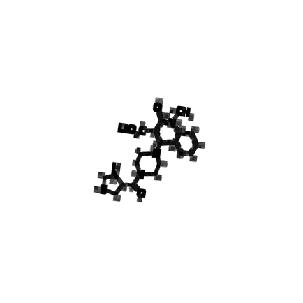 CCOC(=O)c1c(N2CCN(C(=O)C3CSCN3)CC2)c2ccccc2n(C)c1=O